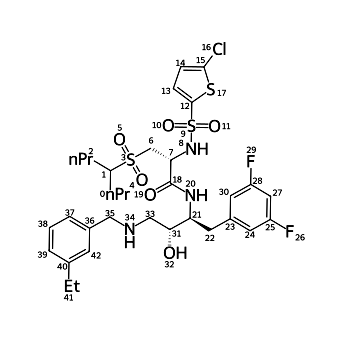 CCCC(CCC)S(=O)(=O)C[C@H](NS(=O)(=O)c1ccc(Cl)s1)C(=O)N[C@@H](Cc1cc(F)cc(F)c1)[C@H](O)CNCc1cccc(CC)c1